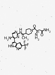 C[C@@H](Nc1ncc(N)c(-c2c[nH]c3ncc(C(F)(F)F)cc23)n1)C1CCN(C(=O)[C@H](N)CC(N)=O)CC1